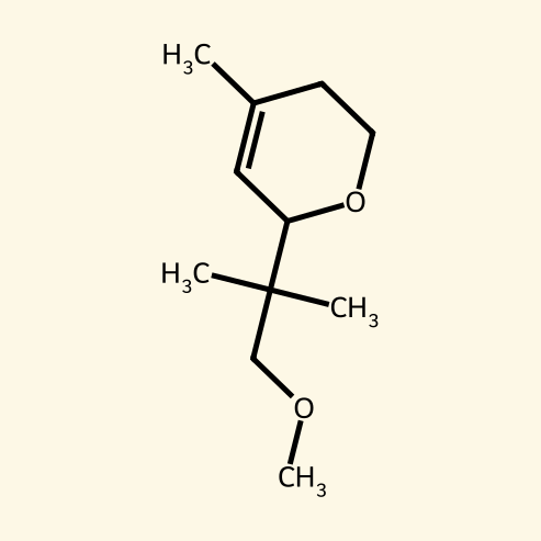 COCC(C)(C)C1C=C(C)CCO1